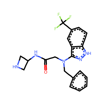 O=C(CN(Cc1ccccc1)c1n[nH]c2ccc(C(F)(F)F)cc12)NC1CNC1